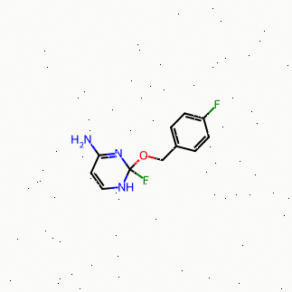 NC1=NC(F)(OCc2ccc(F)cc2)NC=C1